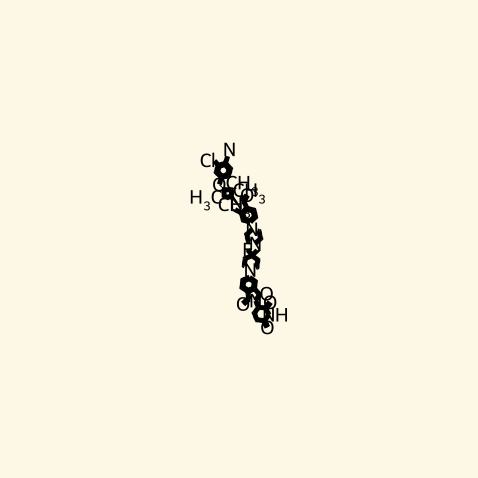 CC1(C)[C@H](Oc2ccc(C#N)c(Cl)c2)C(C)(C)[C@H]1N1Cc2cc(N3CCN(CC4(F)CCN(c5ccc6c(c5)C(=O)N(C5CCC(=O)NC5=O)C6=O)CC4)CC3)ccc2C1=O